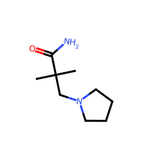 CC(C)(CN1CCCC1)C(N)=O